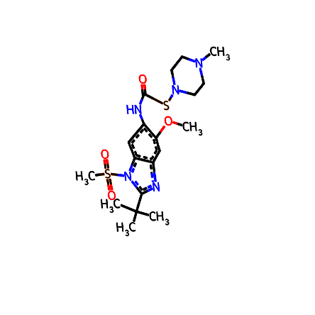 COc1cc2nc(C(C)(C)C)n(S(C)(=O)=O)c2cc1NC(=O)SN1CCN(C)CC1